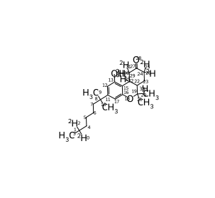 [2H]C([2H])(C)CCCCC(C)(C)c1cc(O)c2c(c1)OC(C)(C)[C@@H]1CC([2H])([2H])C(=O)C([2H])([2H])[C@@H]21